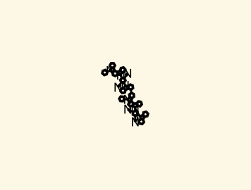 N#Cc1cc(C#N)c(-n2c3ccccc3c3c4c5ccc(-c6cccc7c6c6ccccc6n7-c6cc(C#N)c(-n7c8ccccc8c8c9c%10ccccc%10n(-c%10ccccc%10)c9ccc87)cc6C#N)cc5n(-c5ccccc5)c4ccc32)cc1-n1c2ccccc2c2ccccc21